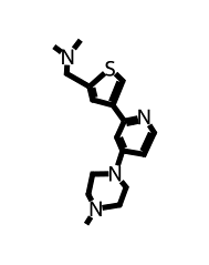 CN(C)Cc1cc(-c2cc(N3CCN(C)CC3)ccn2)cs1